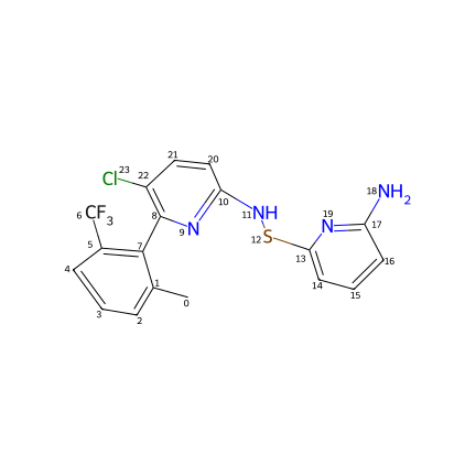 Cc1cccc(C(F)(F)F)c1-c1nc(NSc2cccc(N)n2)ccc1Cl